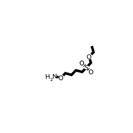 CCOCS(=O)(=O)CCCCON